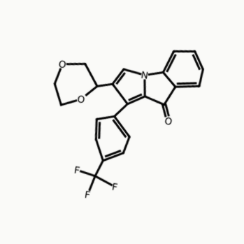 O=C1c2ccccc2-n2cc(C3COCCO3)c(-c3ccc(C(F)(F)F)cc3)c21